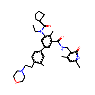 CCN(C(=O)C1CCCC1)c1cc(-c2ccc(CCN3CCOCC3)c(C)c2)cc(C(=O)NCc2c(C)cc(C)[nH]c2=O)c1C